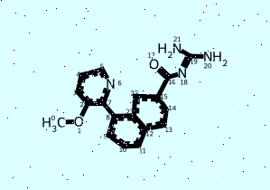 COc1cccnc1-c1cccc2ccc(C(=O)N=C(N)N)cc12